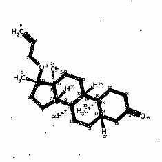 C=CCO[C@@]1(C)CC[C@H]2[C@@H]3CC[C@H]4CC(=O)CC[C@]4(C)[C@H]3CC[C@@]21C